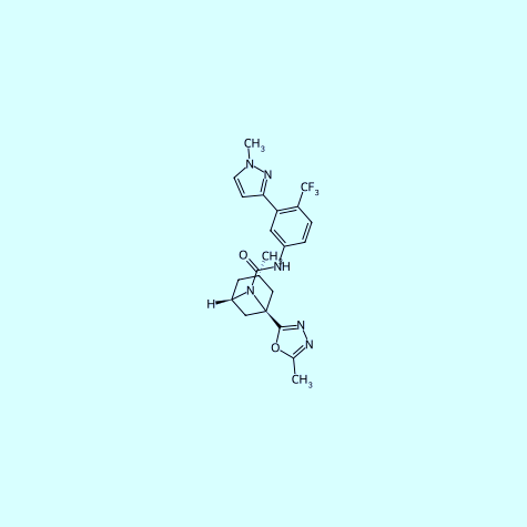 Cc1nnc([C@@]23C[C@@H](C)C[C@@H](C2)N3C(=O)Nc2ccc(C(F)(F)F)c(-c3ccn(C)n3)c2)o1